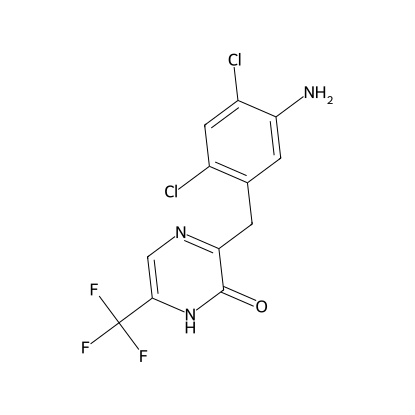 Nc1cc(Cc2ncc(C(F)(F)F)[nH]c2=O)c(Cl)cc1Cl